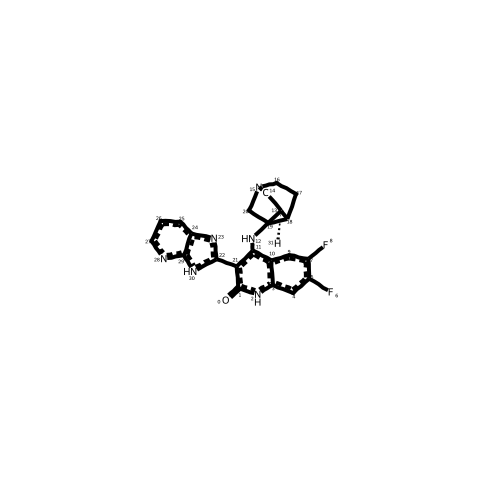 O=c1[nH]c2cc(F)c(F)cc2c(N[C@H]2CN3CCC2CC3)c1-c1nc2cccnc2[nH]1